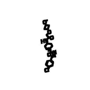 COC1CC(OCC(=O)NC2CCN(c3nnc(-c4ccc(Cl)cc4)o3)CC2)C1